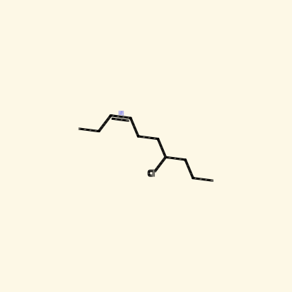 CC/C=C\CCC(Cl)CCC